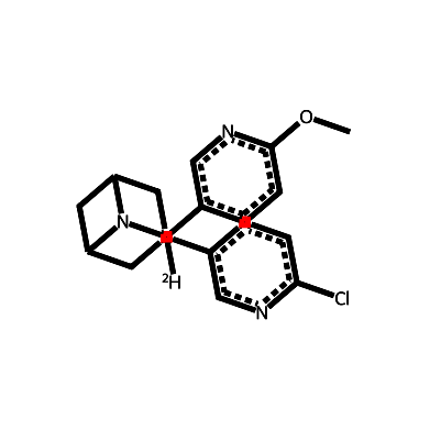 [2H]C(c1ccc(OC)nc1)N1C2CC1CN(c1cnc(Cl)cn1)C2